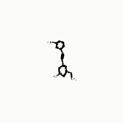 NCc1cc(N)cc(C#Cc2cccc(N)c2)c1